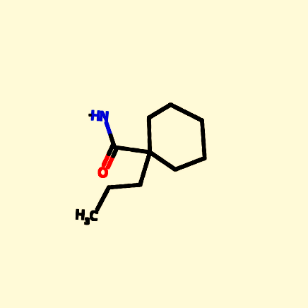 CCCC1(C([NH])=O)CCCCC1